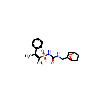 CC(=C(C)S(=O)(=O)NC(=O)NCC1CC2CCC1O2)c1ccccc1